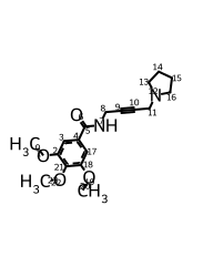 COc1cc(C(=O)NCC#CCN2CCCC2)cc(OC)c1OC